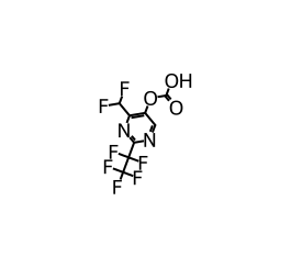 O=C(O)Oc1cnc(C(F)(F)C(F)(F)F)nc1C(F)F